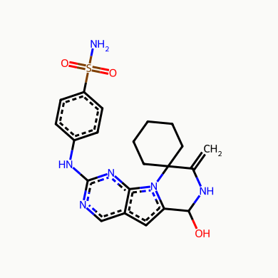 C=C1NC(O)c2cc3cnc(Nc4ccc(S(N)(=O)=O)cc4)nc3n2C12CCCCC2